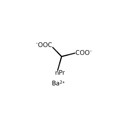 CCCC(C(=O)[O-])C(=O)[O-].[Ba+2]